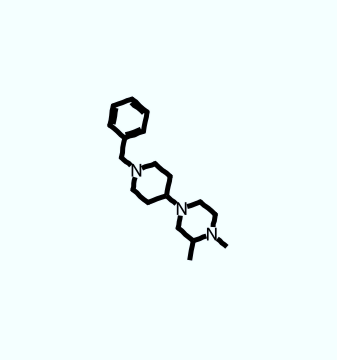 CC1CN(C2CCN(Cc3ccccc3)CC2)CCN1C